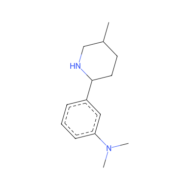 CC1CCC(c2cccc(N(C)C)c2)NC1